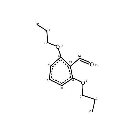 CCCOc1cccc(OCCC)c1C=O